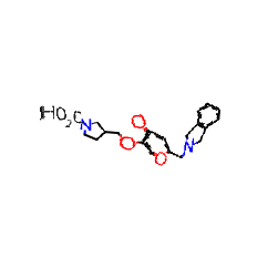 O=C(O)N1CCC(COc2coc(CN3Cc4ccccc4C3)cc2=O)C1